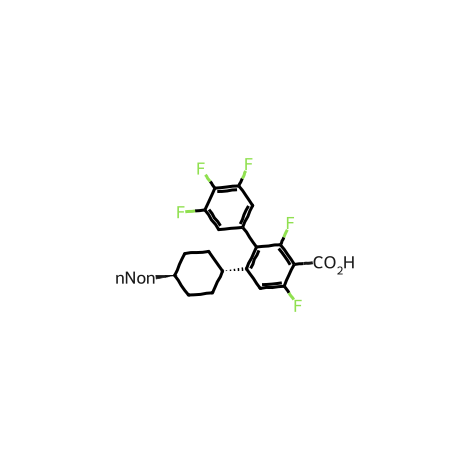 CCCCCCCCC[C@H]1CC[C@H](c2cc(F)c(C(=O)O)c(F)c2-c2cc(F)c(F)c(F)c2)CC1